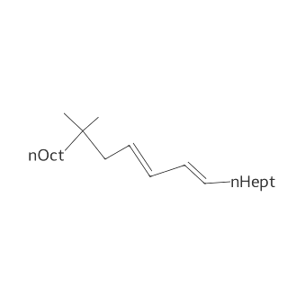 CCCCCCCC=CC=CCC(C)(C)CCCCCCCC